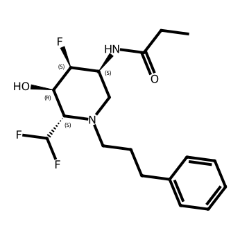 CCC(=O)N[C@H]1CN(CCCc2ccccc2)[C@H](C(F)F)[C@@H](O)[C@H]1F